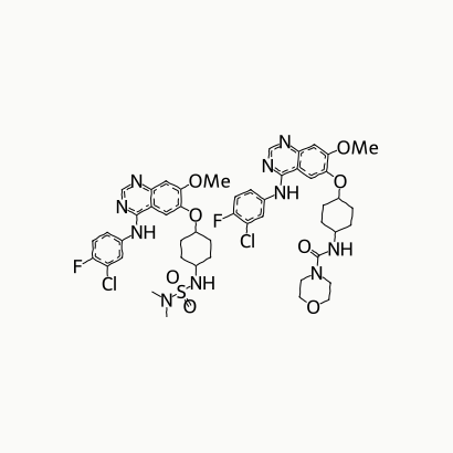 COc1cc2ncnc(Nc3ccc(F)c(Cl)c3)c2cc1OC1CCC(NC(=O)N2CCOCC2)CC1.COc1cc2ncnc(Nc3ccc(F)c(Cl)c3)c2cc1OC1CCC(NS(=O)(=O)N(C)C)CC1